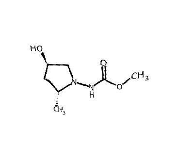 COC(=O)NN1C[C@H](O)C[C@H]1C